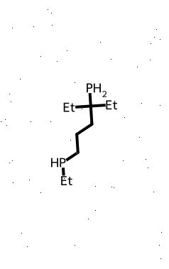 CCPCCCC(P)(CC)CC